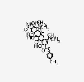 Cc1ccc(SC(=O)c2cc(N(C)C)c3c(c2O)C(=O)C2=C(O)[C@]4(O)C(=O)C(C(N)=O)=C(O)[C@@H](N(C)C)[C@@H]4C[C@@H]2C3)cc1